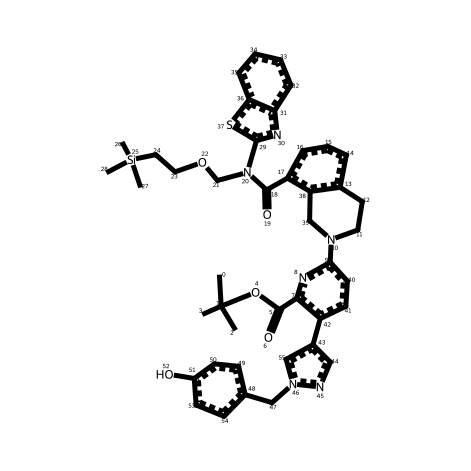 CC(C)(C)OC(=O)c1nc(N2CCc3cccc(C(=O)N(COCC[Si](C)(C)C)c4nc5ccccc5s4)c3C2)ccc1-c1cnn(Cc2ccc(O)cc2)c1